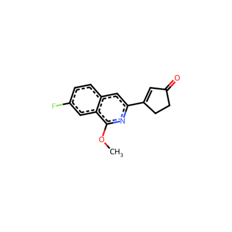 COc1nc(C2=CC(=O)CC2)cc2ccc(F)cc12